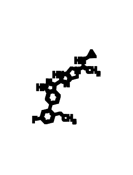 C=C(NC1CC1)N1Cc2nc(-c3n[nH]c4cc(-c5cc(F)ccc5CC)ccc34)[nH]c2C1